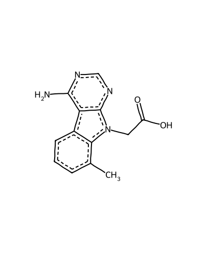 Cc1cccc2c3c(N)ncnc3n(CC(=O)O)c12